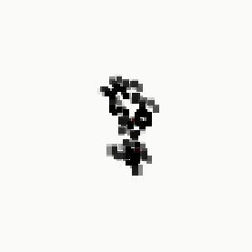 Cc1ccc(C[C@H](NC(=O)OC[C@H]2CCN(C(=O)C(C#N)[C@@H](C)CC(C)(C)C)C2)B2O[C@@H]3C[C@@H]4C[C@@H](C4(C)C)[C@]3(C)O2)cc1